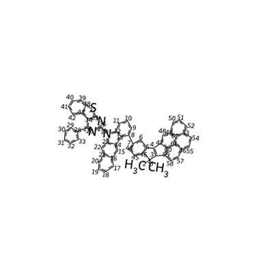 CC1(C)C2=C(c3cc(-c4cccc5c4c4cc6ccccc6cc4n5-c4nc(-c5ccccc5)c5c(n4)sc4ccccc45)ccc31)c1cc3cccc4ccc5ccc2c1c5c43